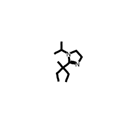 CCC(C)(CC)C1=NCCN1C(C)C